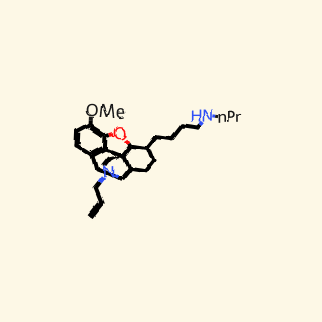 C=CCN1CC[C@@]23c4c5ccc(OC)c4OC2C(CCCCNCCC)CCC3C1C5